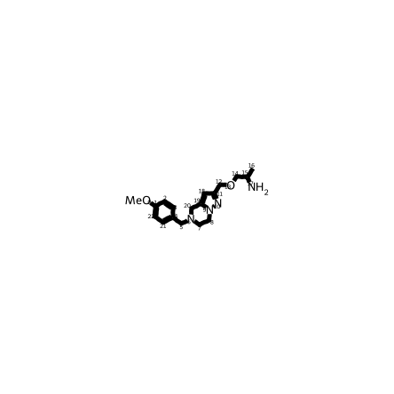 COc1ccc(CN2CCn3nc(COCC(C)N)cc3C2)cc1